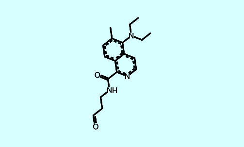 CCN(CC)c1c(C)ccc2c(C(=O)NCCC=O)nccc12